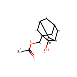 CCC(C)C(=O)OCC12CC3CC(CC(C3)C1O)C2